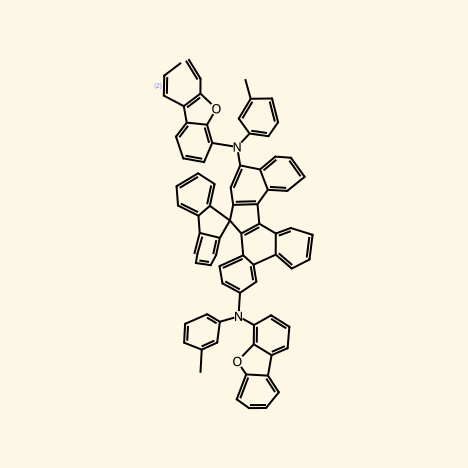 C=Cc1oc2c(N(c3cccc(C)c3)c3cc4c(c5ccccc35)-c3c(c5ccc(N(c6cccc(C)c6)c6cccc7c6oc6ccccc67)cc5c5ccccc35)C43c4ccccc4-c4ccccc43)cccc2c1/C=C\C